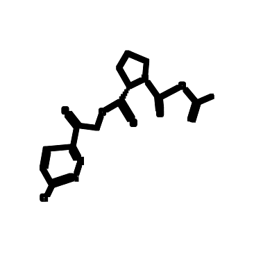 C=C(C)OC(=O)N1CCC[C@H]1C(=O)OCC(=O)c1ccc(Cl)nn1